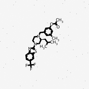 CC(=O)Oc1cc(C)cc(CN2CCN(c3nc4ccc(C(F)(F)F)cc4s3)C[C@@H]2CC(C)C)c1